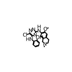 COc1cc2c(cc1Nc1nnc(Cl)c(Nc3ccccc3O)n1)CN(C)CC2